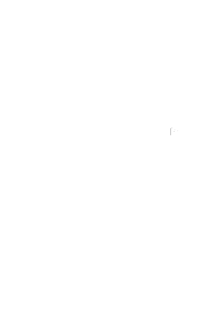 Brc1[c]c2cc3ccccc3cc2cc1